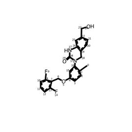 Cc1ccc(OCc2c(F)cccc2F)cc1N1Cc2ccc(CO)cc2NC1=O